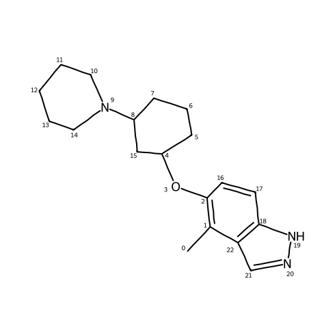 Cc1c(OC2CCCC(N3CCCCC3)C2)ccc2[nH]ncc12